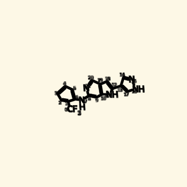 FC(F)(F)c1ccccc1Nc1cc2[nH]c(-c3cn[nH]c3)cc2cn1